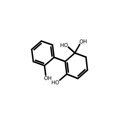 OC1=C(c2ccccc2O)C(O)(O)CC=C1